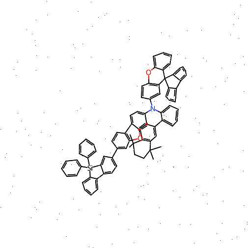 CC1(C)CCC(C)(C)c2cc(-c3ccccc3N(c3ccc4c(c3)C3(c5ccccc5O4)c4ccccc4-c4ccccc43)c3ccc4c(c3)oc3cc(-c5ccc6c(c5)[Si](c5ccccc5)(c5ccccc5)c5ccccc5-6)ccc34)ccc21